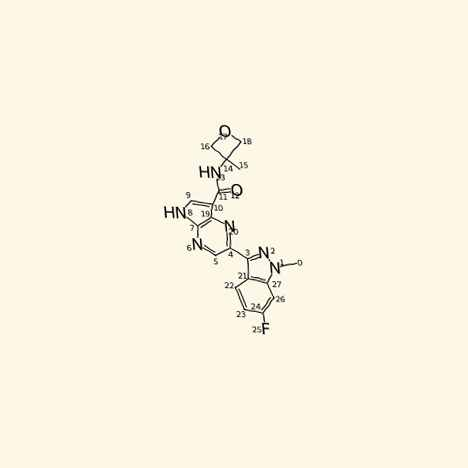 Cn1nc(-c2cnc3[nH]cc(C(=O)NC4(C)COC4)c3n2)c2ccc(F)cc21